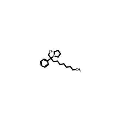 CCCCCCCCC(CC)(c1ccccc1)N1CCCC1